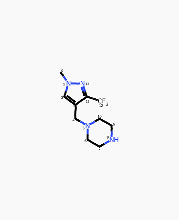 Cn1cc(CN2CCNCC2)c(C(F)(F)F)n1